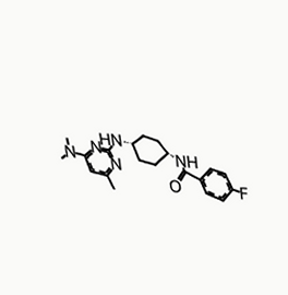 Cc1cc(N(C)C)nc(N[C@H]2CC[C@@H](NC(=O)c3ccc(F)cc3)CC2)n1